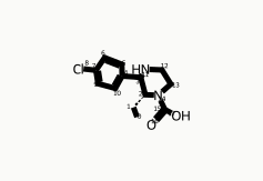 CC[C@@H]1C(c2ccc(Cl)cc2)NCCN1C(=O)O